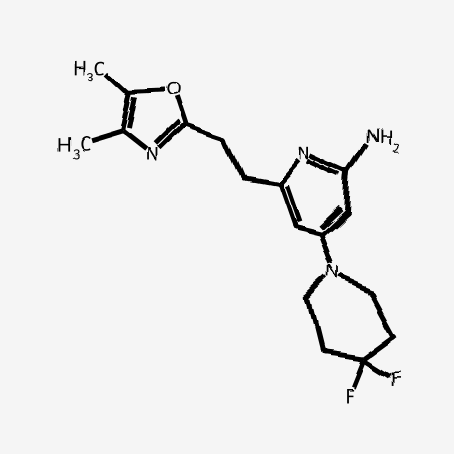 Cc1nc(CCc2cc(N3CCC(F)(F)CC3)cc(N)n2)oc1C